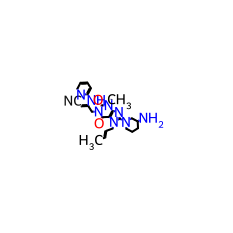 C/C=C/Cn1c(N2CCCC(N)C2)nc2c1c(=O)n(C/C(=C/C#N)Nc1ccccn1)c(=O)n2C